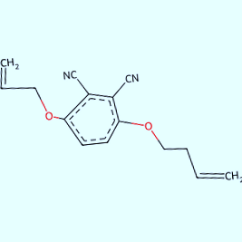 C=CCCOc1ccc(OCC=C)c(C#N)c1C#N